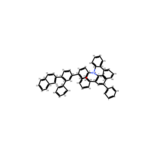 c1ccc(-c2ccc(N(c3ccc(-c4ccc(-c5ccc6ccccc6c5)c(-c5ccccc5)c4)cc3)c3ccccc3-c3ccccc3)c(-c3ccccc3)c2)cc1